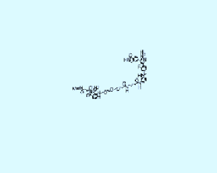 CNC(=O)CCC(C=O)N1C(=O)c2cccc(NCCOCCOCCOCCC(=O)NCCCCC(=O)Nc3cccc(NSc4ccc(-c5cnc(N)c(-c6ccc7c(c6)CCNC7=O)c5)c(F)c4)c3)c2C1=O